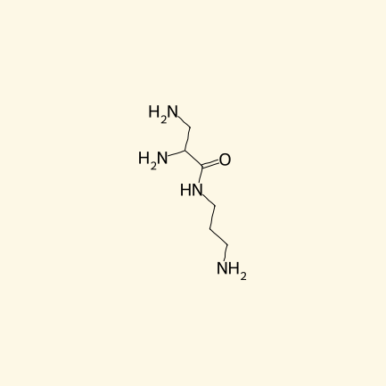 NCCCNC(=O)C(N)CN